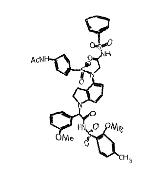 COc1cccc(C(C(=O)NS(=O)(=O)c2ccc(C)cc2OC)N2CCc3c2cccc3N(CC(=O)NS(=O)(=O)c2ccccc2)S(=O)(=O)c2ccc(NC(C)=O)cc2)c1